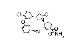 N#Cc1cccc(Oc2cc([C@H]3CC(=O)N(c4ccc(S(N)(=O)=O)cc4)C3)ccc2Cl)c1